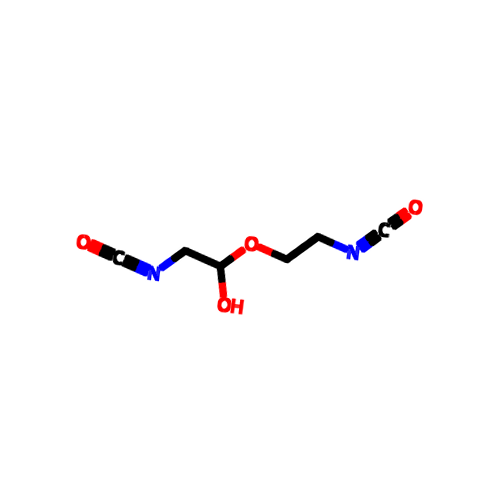 O=C=NCCOC(O)CN=C=O